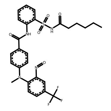 CCCCCC(=O)NS(=O)(=O)c1ccccc1NC(=O)c1ccc(N(C)c2ccc(C(F)(F)F)cc2N=O)cc1